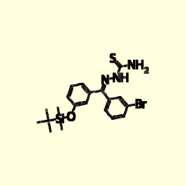 CC(C)(C)[Si](C)(C)Oc1cccc(C(=NNC(N)=S)c2cccc(Br)c2)c1